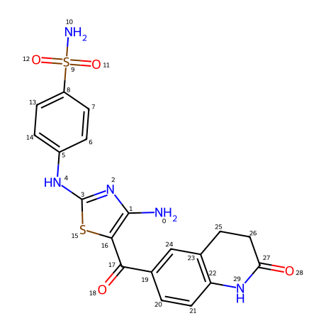 Nc1nc(Nc2ccc(S(N)(=O)=O)cc2)sc1C(=O)c1ccc2c(c1)CCC(=O)N2